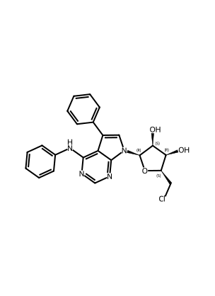 O[C@@H]1[C@H](O)[C@H](n2cc(-c3ccccc3)c3c(Nc4ccccc4)ncnc32)O[C@@H]1CCl